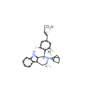 C[C@@H]1Cc2c([nH]c3ccccc23)[C@@H](c2c(F)cc(/C=C/C(=O)O)cc2F)N1[C@H]1CC2CC1C2